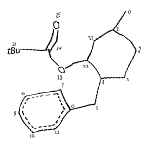 CC1CCC(Cc2ccccc2)C(OC(=O)C(C)(C)C)C1